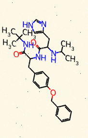 CC(C)NC(Cc1c[nH]cn1)C(=O)NC(Cc1ccc(OCc2ccccc2)cc1)C(=O)NC(C)(C)C